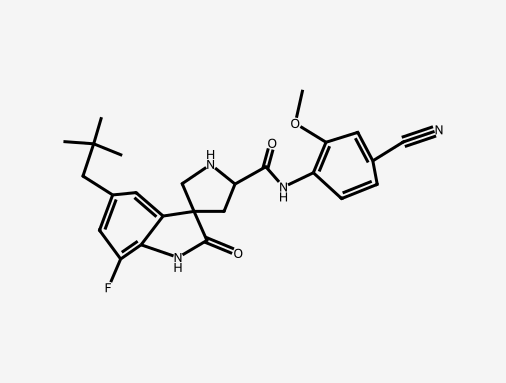 COc1cc(C#N)ccc1NC(=O)C1CC2(CN1)C(=O)Nc1c(F)cc(CC(C)(C)C)cc12